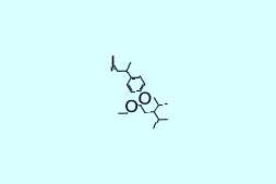 CCOC(CC(C(C)C)C(C)C)Oc1ccc(C(C)CI)cc1